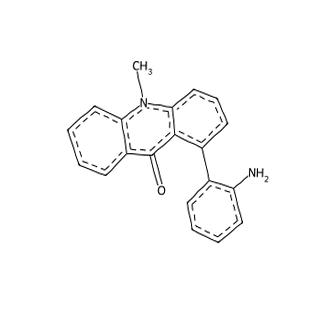 Cn1c2ccccc2c(=O)c2c(-c3ccccc3N)cccc21